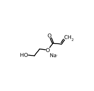 C=CC(=O)OCCO.[Na]